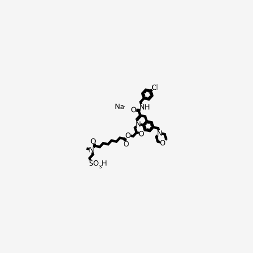 CN(CCS(=O)(=O)O)C(=O)CCCCCCC(=O)OCC1CN2C=C(C(=O)NCc3ccc(Cl)cc3)Cc3cc(CN4CCOCC4)cc(c32)O1.[Na]